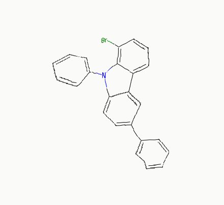 Brc1cccc2c3cc(-c4ccccc4)ccc3n(-c3ccccc3)c12